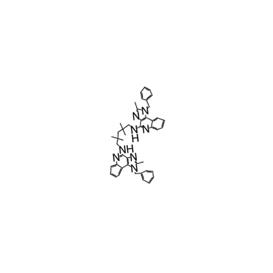 Cc1nc2c(NCC(C)(C)CC(C)(C)CNc3nc4ccccc4c4c3nc(C)n4Cc3ccccc3)nc3ccccc3c2n1Cc1ccccc1